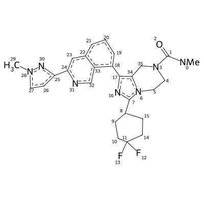 CNC(=O)N1CCn2c(C3CCC(F)(F)CC3)nc(-c3cccc4cc(-c5ccn(C)n5)ncc34)c2C1